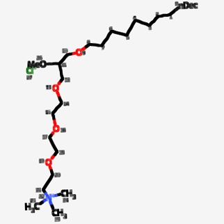 CCCCCCCCCCCCCCCCCCOCC(COCCOCCOCC[N+](C)(C)C)OC.[Cl-]